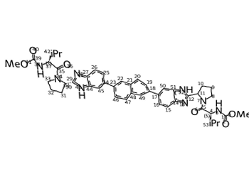 COC(=O)N[C@H](C(=O)N1CCCC1c1nc2ccc(-c3ccc4cc(-c5ccc6nc([C@@H]7CCCN7C(=O)[C@@H](NC(=O)OC)C(C)C)[nH]c6c5)ccc4c3)cc2[nH]1)C(C)C